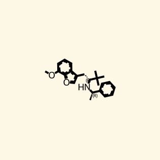 COc1cccc2c(C[C@@H](N[C@H](C)c3ccccc3)C(C)(C)C)coc12